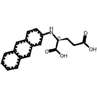 O=C(O)CC[C@H](Nc1ccc2cc3ccccc3cc2c1)C(=O)O